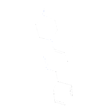 CN1CCN(c2nnc(-c3ccccc3)cc2O)CC1